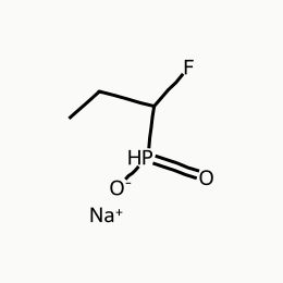 CCC(F)[PH](=O)[O-].[Na+]